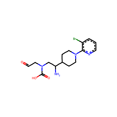 NC(CN(CC=O)C(=O)O)C1CCN(c2ncccc2Br)CC1